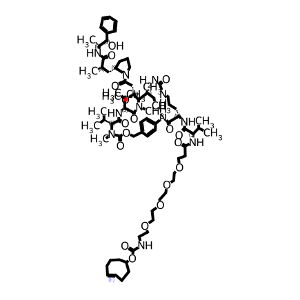 CC[C@H](C)C([C@@H](CC(=O)N1CCC[C@H]1C[C@@H](C)C(=O)N[C@H](C)[C@@H](O)c1ccccc1)OC)N(C)C(=O)[C@@H](NC(=O)[C@H](C(C)C)N(C)C(=O)OCc1ccc(NC(=O)[C@H](CCCNC(N)=O)NC(=O)[C@@H](NC(=O)CCOCCOCCOCCOCCNC(=O)OC2CC/C=C/CCC2)C(C)C)cc1)C(C)C